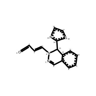 O=CC=CN1N=Cc2ccccc2C1c1nccs1